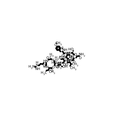 CC[C@H](C)[C@H](NC(=O)[C@@H](Cc1ccc(OC)cc1)NC)C(=O)N[C@@H](CO)C(=O)N[C@H](CCC(N)=O)C(=O)N[C@@H](C(=O)N[C@H](C(=O)N[C@@H](CO)C(=O)N[C@H]1C(=O)N[C@@H](C)C(=O)N[C@@H](CCCCNC(=N)N)C(=O)N[C@@H]([C@@H](C)CC)C(=O)O[C@H]1C)[C@@H](C)CC)[C@@H](C)CC